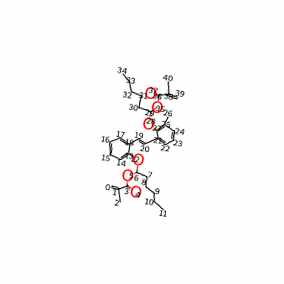 C=C(C)C(=O)OC(CCCCC)Oc1ccccc1/C=C/c1cccc(C)c1OC(CCCCC)OC(=O)C(=C)C